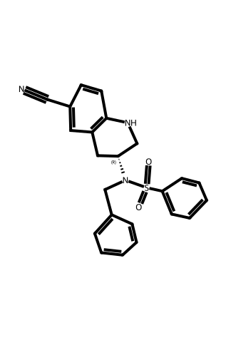 N#Cc1ccc2c(c1)C[C@@H](N(Cc1ccccc1)S(=O)(=O)c1ccccc1)CN2